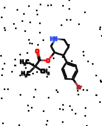 CC(C)(C)C(=O)OC1CNCCC1c1ccc(Br)cc1